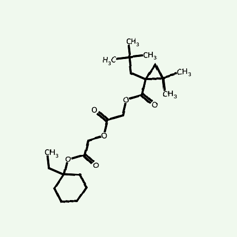 CCC1(OC(=O)COC(=O)COC(=O)C2(CC(C)(C)C)CC2(C)C)CCCCC1